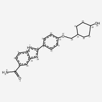 NC(=O)c1ccc2[nH]c(-c3ccc(OCC4CCC(O)CC4)cc3)nc2c1